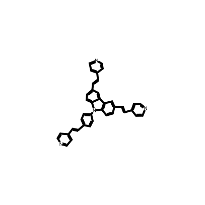 C(=Cc1ccc(-n2c3ccc(C=Cc4ccncc4)cc3c3cc(C=Cc4ccncc4)ccc32)cc1)c1ccncc1